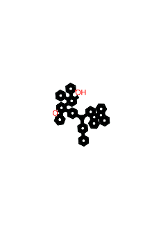 Cc1ccc(-c2ccc3oc4ccccc4c3c2-c2ccc(C3C(c4ccc(-c5ccccc5)cc4)C3c3cccc4c3-c3ccccc3C43c4ccccc4-c4ccccc43)cc2)c(-c2ccccc2)c1-c1ccccc1O